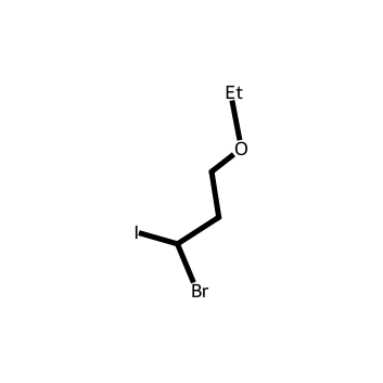 CCOCCC(Br)I